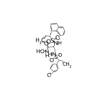 C=CC(c1ccc(Cl)cc1)S(=O)(=O)NCC(NS(=O)(=O)C(C=C)c1cccc2ccccc12)C(=O)NO